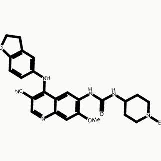 CCN1CCC(NC(=O)Nc2cc3c(Nc4ccc5c(c4)CCO5)c(C#N)cnc3cc2OC)CC1